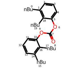 CCCCc1cccc(OC(=O)Oc2cccc(CCCC)c2CCCC)c1CCCC